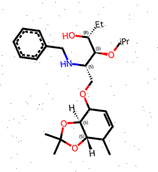 CC[C@@H](O)[C@@H](OC(C)C)[C@H](COC1C=CC(C)[C@@H]2OC(C)(C)O[C@@H]12)NCc1ccccc1